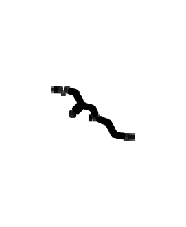 O=C(O)CC(=O)CNCCO